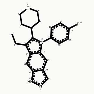 CCc1c(C2CCOCC2)n(-c2ccc(F)cc2)c2cc3cn[nH]c3cc12